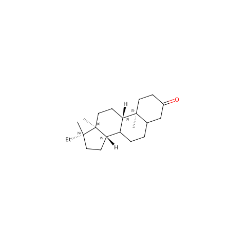 CC[C@@]1(C)CC[C@H]2C3CCC4CC(=O)CC[C@]4(C)[C@H]3CC[C@@]21C